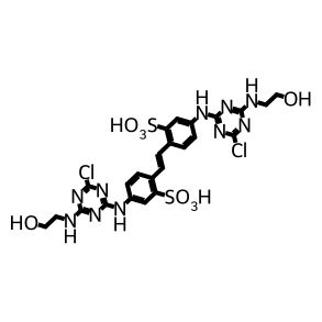 O=S(=O)(O)c1cc(Nc2nc(Cl)nc(NCCO)n2)ccc1C=Cc1ccc(Nc2nc(Cl)nc(NCCO)n2)cc1S(=O)(=O)O